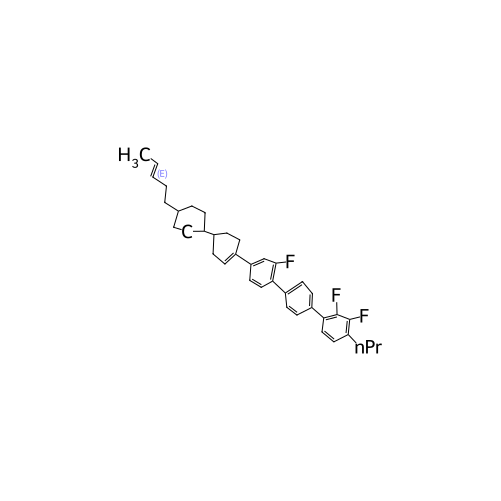 C/C=C/CCC1CCC(C2CC=C(c3ccc(-c4ccc(-c5ccc(CCC)c(F)c5F)cc4)c(F)c3)CC2)CC1